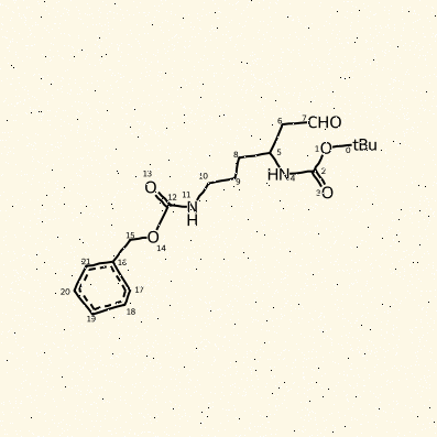 CC(C)(C)OC(=O)NC(CC=O)CCCNC(=O)OCc1ccccc1